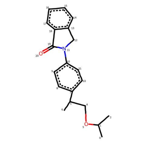 CC(C)OCC(C)c1ccc(N2Cc3ccccc3C2=O)cc1